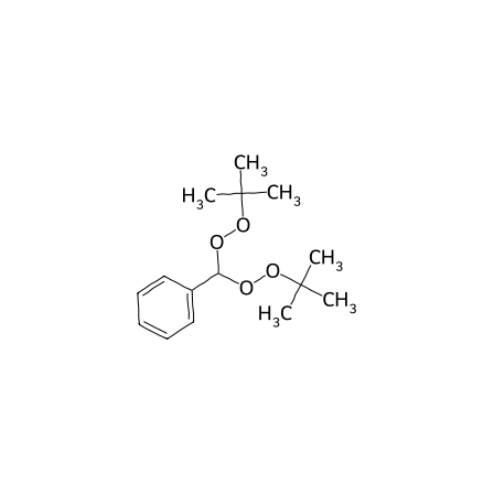 CC(C)(C)OOC(OOC(C)(C)C)c1ccccc1